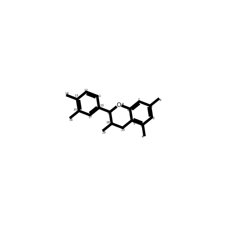 Cc1cc(C)c2c(c1)OC(c1ccc(C)c(C)c1)C(C)C2